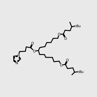 CCCCC(C)CCC(=O)OCCCCCCC(CCCCCCOC(=O)CCC(C)CCCC)OC(=O)CCCn1ccnc1